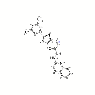 O=C(/C=C\n1cnc(-c2cc(C(F)(F)F)cc(C(F)(F)F)c2)n1)NNc1ccc2ccccc2n1